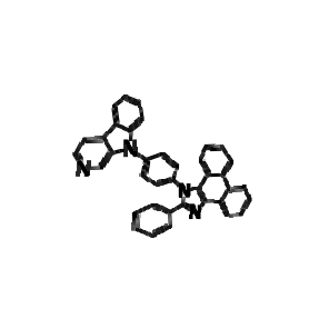 c1ccc(-c2nc3c4ccccc4c4ccccc4c3n2-c2ccc(-n3c4ccccc4c4ccncc43)cc2)cc1